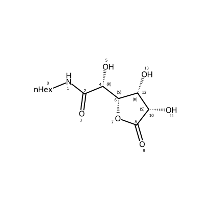 CCCCCCNC(=O)[C@H](O)[C@H]1OC(=O)[C@@H](O)[C@H]1O